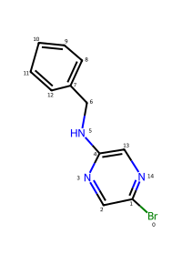 Brc1cnc(NCc2ccccc2)cn1